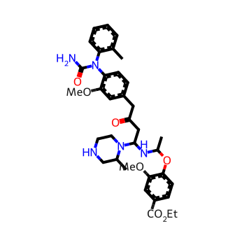 CCOC(=O)c1ccc(OC(C)NC(CC(=O)Cc2ccc(N(C(N)=O)c3ccccc3C)c(OC)c2)N2CCNCC2C)c(OC)c1